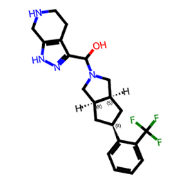 OC(c1n[nH]c2c1CCNC2)N1C[C@H]2C[C@@H](c3ccccc3C(F)(F)F)C[C@H]2C1